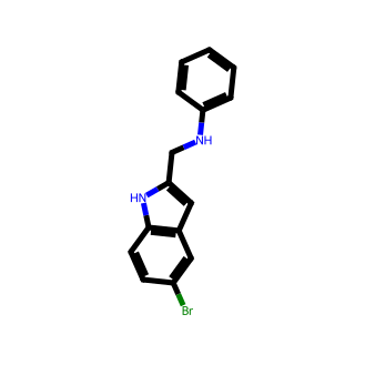 Brc1ccc2[nH]c(CNc3ccccc3)cc2c1